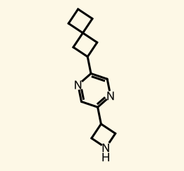 c1nc(C2CC3(CCC3)C2)cnc1C1CNC1